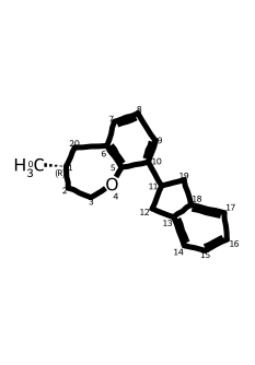 C[C@H]1CCOc2c(cccc2C2Cc3ccccc3C2)C1